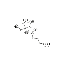 O=C(O)CCCC(=O)NC(CO)(CO)CO